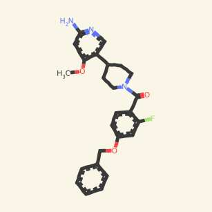 COc1cc(N)ncc1C1CCN(C(=O)c2ccc(OCc3ccccc3)cc2F)CC1